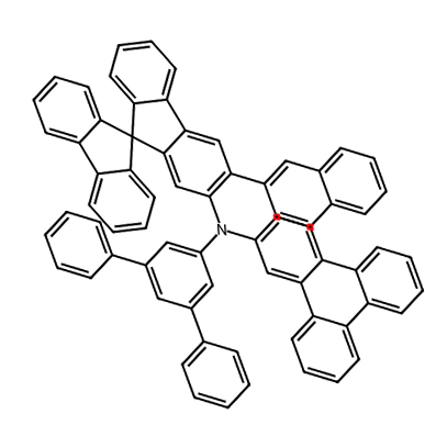 c1ccc(-c2cc(-c3ccccc3)cc(N(c3ccc4c5ccccc5c5ccccc5c4c3)c3cc4c(cc3-c3ccc5ccccc5c3)-c3ccccc3C43c4ccccc4-c4ccccc43)c2)cc1